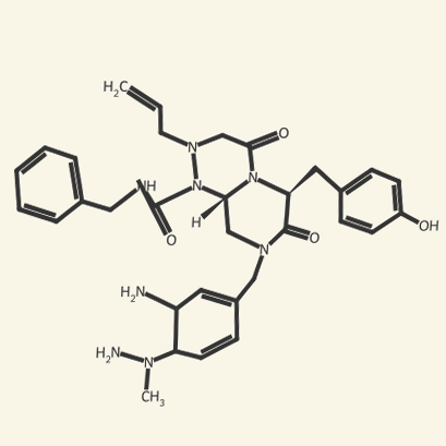 C=CCN1CC(=O)N2[C@@H](Cc3ccc(O)cc3)C(=O)N(CC3=CC(N)C(N(C)N)C=C3)C[C@@H]2N1C(=O)NCc1ccccc1